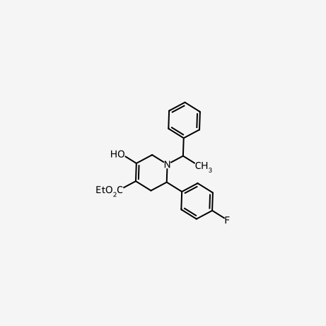 CCOC(=O)C1=C(O)CN(C(C)c2ccccc2)C(c2ccc(F)cc2)C1